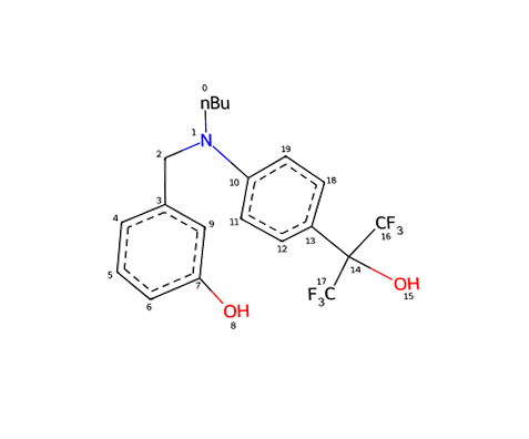 CCCCN(Cc1cccc(O)c1)c1ccc(C(O)(C(F)(F)F)C(F)(F)F)cc1